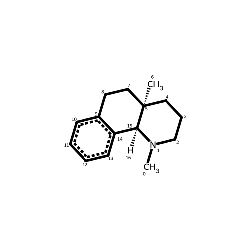 CN1CCC[C@]2(C)CCc3ccccc3[C@H]12